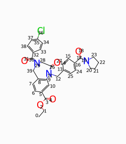 CCOC(=O)c1ccc2c(c1)N(Cc1ccc(C(=O)N3CCCC3)cc1)C(=O)CN(C(=O)c1ccc(Cl)cc1)C2